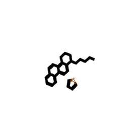 CCCCCC1CCCc2c1ccc1c2ccc2ccccc21.c1ccsc1